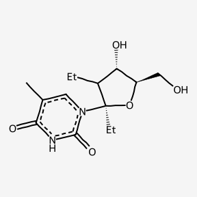 CCC1[C@H](O)[C@@H](CO)O[C@@]1(CC)n1cc(C)c(=O)[nH]c1=O